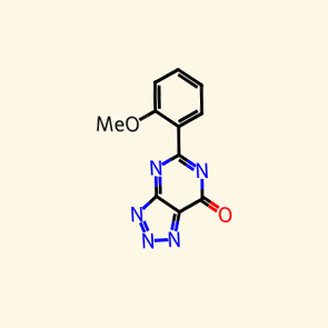 COc1ccccc1C1=NC(=O)C2=NN=NC2=N1